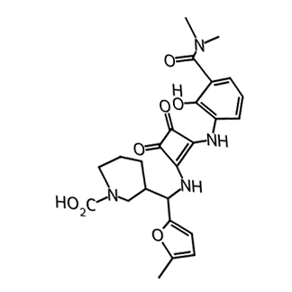 Cc1ccc(C(Nc2c(Nc3cccc(C(=O)N(C)C)c3O)c(=O)c2=O)C2CCCN(C(=O)O)C2)o1